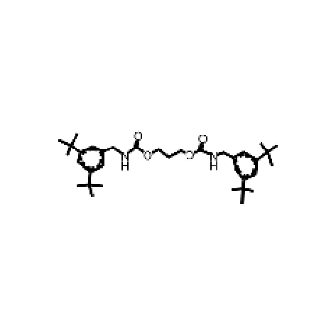 CC(C)(C)c1cc(CNC(=O)OCCCOC(=O)NCc2cc(C(C)(C)C)cc(C(C)(C)C)c2)cc(C(C)(C)C)c1